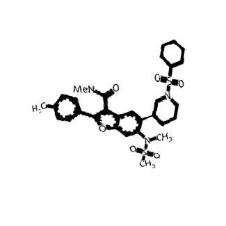 CNC(=O)c1c(-c2ccc(C)cc2)oc2cc(N(C)S(C)(=O)=O)c([C@@H]3CCCN(S(=O)(=O)C4CCCCC4)C3)cc12